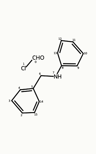 O=CCl.c1ccc(CNc2ccccc2)cc1